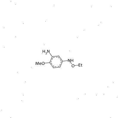 CCONc1ccc(OC)c(N)c1